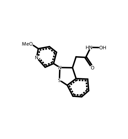 COc1ccc(N2Sc3ccccc3C2CC(=O)NO)cn1